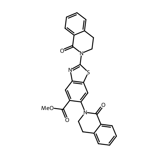 COC(=O)c1cc2nc(N3CCc4ccccc4C3=O)sc2cc1N1CCc2ccccc2C1=O